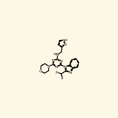 FC(F)c1nc2ccccc2n1-c1nc(NCc2cc[nH]n2)nc(N2CCOCC2)n1